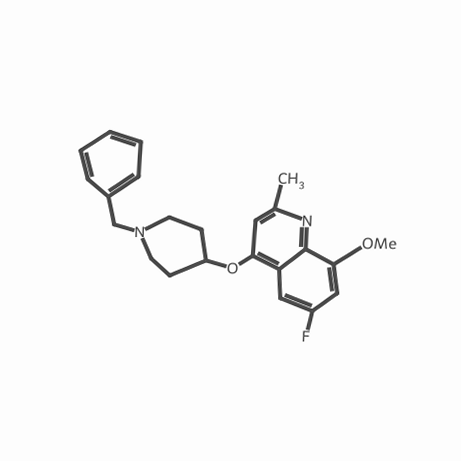 COc1cc(F)cc2c(OC3CCN(Cc4ccccc4)CC3)cc(C)nc12